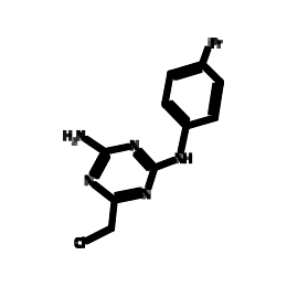 CC(C)c1ccc(Nc2nc(N)nc(CCl)n2)cc1